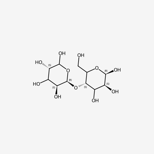 OCC1O[C@@H](O)[C@@H](O)C(O)[C@@H]1O[C@@H]1OC(O)[C@@H](O)C(O)[C@@H]1O